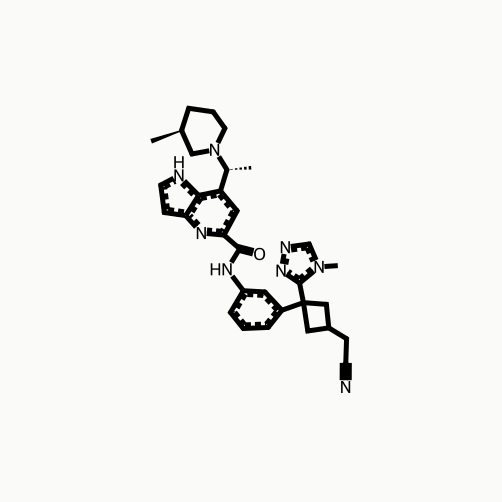 C[C@H]1CCCN([C@H](C)c2cc(C(=O)Nc3cccc(C4(c5nncn5C)CC(CC#N)C4)c3)nc3cc[nH]c23)C1